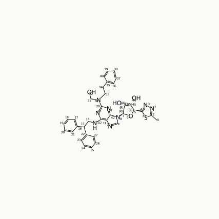 Cc1nnc([C@H]2O[C@@H](n3cnc4c(NCC(c5ccccc5)c5ccccc5)nc(N(CO)CCc5ccccc5)nc43)[C@H](O)[C@@H]2O)s1